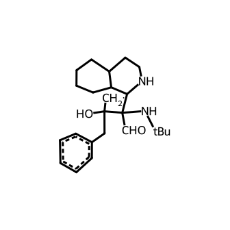 [CH2]C(O)(Cc1ccccc1)C(C=O)(NC(C)(C)C)C1NCCC2CCCCC21